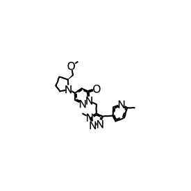 COC[C@@H]1CCCN1c1cnn(Cc2c(-c3ccc(C)nc3)nnn2C)c(=O)c1